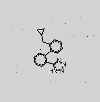 c1ccc(-c2ccccc2-c2nnn[nH]2)c(CC2CC2)c1